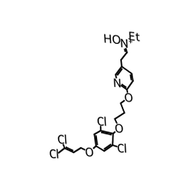 CC[N+](O)=CCc1ccc(OCCCOc2c(Cl)cc(OCC=C(Cl)Cl)cc2Cl)nc1